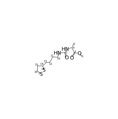 COC(=O)C(C)NC(=O)NCCCCC1CCSS1